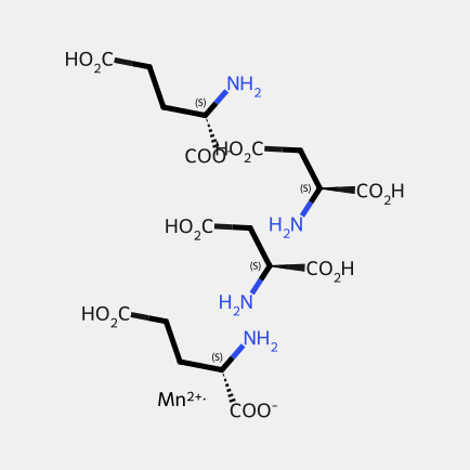 N[C@@H](CC(=O)O)C(=O)O.N[C@@H](CC(=O)O)C(=O)O.N[C@@H](CCC(=O)O)C(=O)[O-].N[C@@H](CCC(=O)O)C(=O)[O-].[Mn+2]